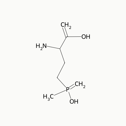 C=C(O)C(N)CCP(=C)(C)O